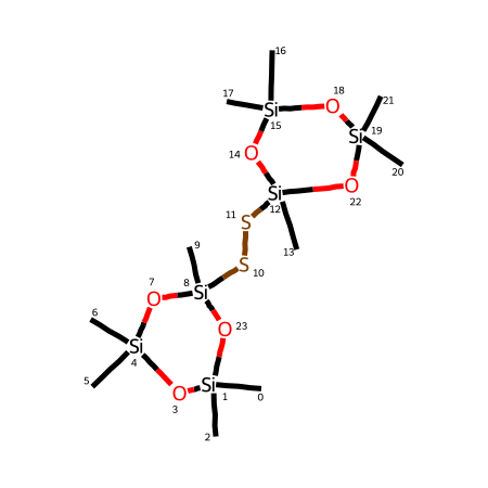 C[Si]1(C)O[Si](C)(C)O[Si](C)(SS[Si]2(C)O[Si](C)(C)O[Si](C)(C)O2)O1